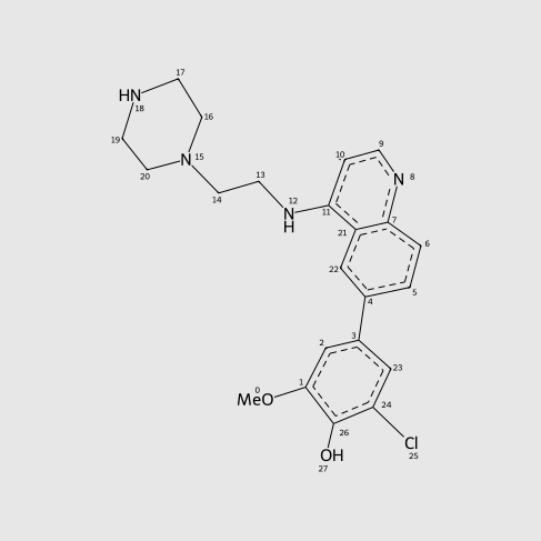 COc1cc(-c2ccc3nc[c]c(NCCN4CCNCC4)c3c2)cc(Cl)c1O